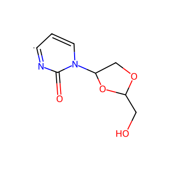 O=c1n[c]ccn1C1COC(CO)O1